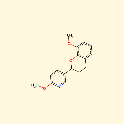 COc1ccc(C2CCc3cccc(OC)c3O2)cn1